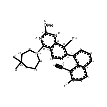 C#Cc1c(F)ccc2cccc(-c3ncc4c(N5CCCC(C)(C)CC5)nc(OC)nc4c3F)c12